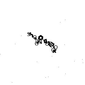 CO[C@]1(CN2CCN(C(=O)OC(C)(C)C)CC2)C[C@@H](c2cccc3c2n(C)c(=O)n3COCC[Si](C)(C)C)C1